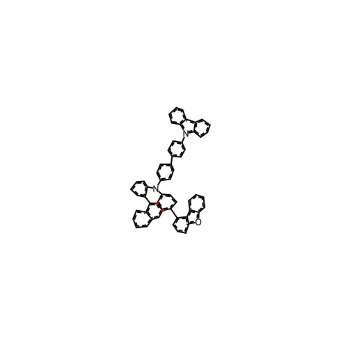 c1ccc(N(c2ccc(-c3ccc(-n4c5ccccc5c5ccccc54)cc3)cc2)c2ccc(-c3cccc4oc5ccccc5c34)cc2)c(-c2cccc3ccccc23)c1